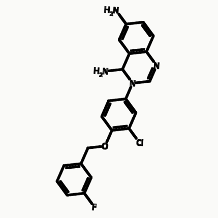 Nc1ccc2c(c1)C(N)N(c1ccc(OCc3cccc(F)c3)c(Cl)c1)C=N2